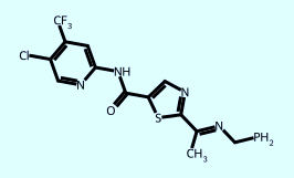 C/C(=N\CP)c1ncc(C(=O)Nc2cc(C(F)(F)F)c(Cl)cn2)s1